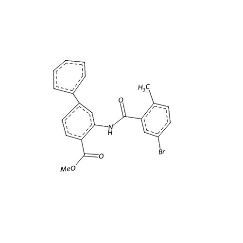 COC(=O)c1ccc(-c2ccccc2)cc1NC(=O)c1cc(Br)ccc1C